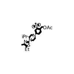 CCc1sc(N2CCN(c3ccc(COC(C)=O)c(S(C)(=O)=O)c3)C[C@H]2C(C)C)nc1C